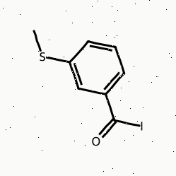 CSc1cccc(C(=O)I)c1